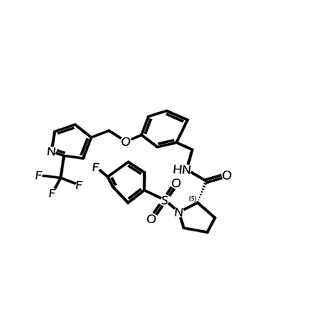 O=C(NCc1cccc(OCc2ccnc(C(F)(F)F)c2)c1)[C@@H]1CCCN1S(=O)(=O)c1ccc(F)cc1